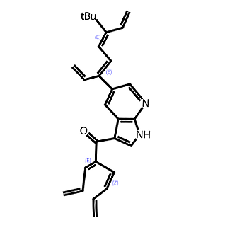 C=C/C=C\C(=C/C=C)C(=O)c1c[nH]c2ncc(/C(C=C)=C/C=C(\C=C)C(C)(C)C)cc12